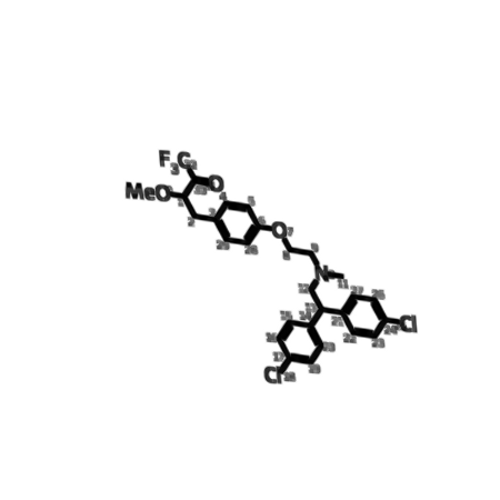 COC(Cc1ccc(OCCN(C)CC(c2ccc(Cl)cc2)c2ccc(Cl)cc2)cc1)C(=O)C(F)(F)F